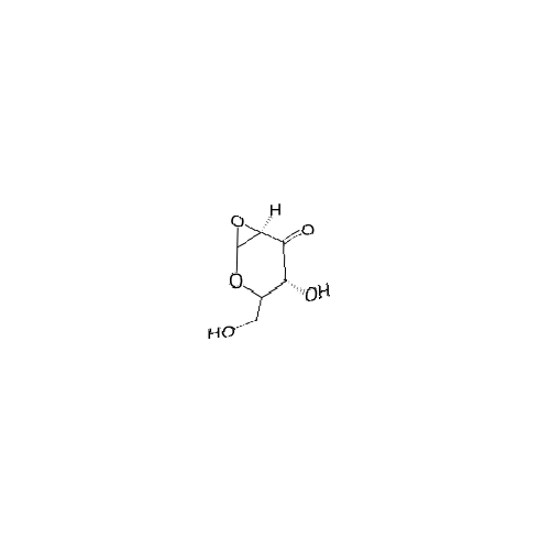 O=C1[C@H](O)C(CO)OC2O[C@@H]12